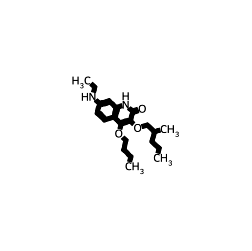 CCCCOc1c(OCC(C)CCC)c(=O)[nH]c2cc(NCC)ccc12